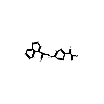 O=C(O)C(=O)c1ccc(OCC(=O)c2cccc3ccccc23)cc1